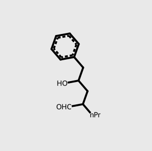 CCCC(C=O)CC(O)Cc1ccccc1